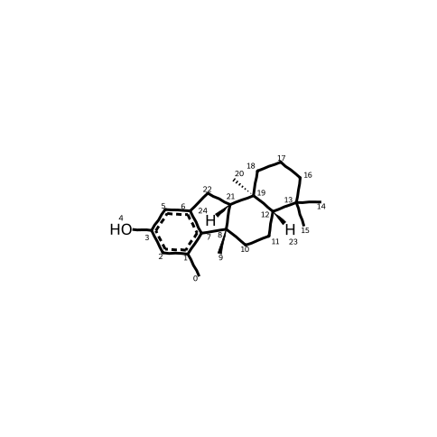 Cc1cc(O)cc2c1[C@@]1(C)CC[C@H]3C(C)(C)CCC[C@]3(C)[C@H]1C2